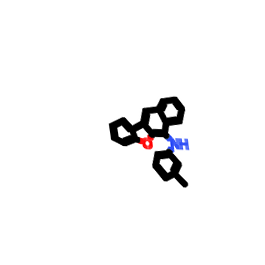 Cc1cccc(Nc2c3ccccc3cc3c2oc2ccccc23)c1